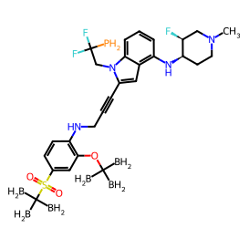 BC(B)(B)Oc1cc(S(=O)(=O)C(B)(B)B)ccc1NCC#Cc1cc2c(N[C@@H]3CCN(C)C[C@@H]3F)cccc2n1CC(F)(F)P